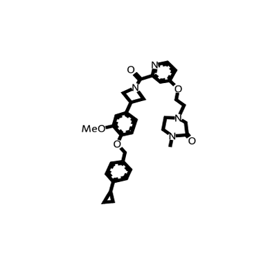 COc1cc(C2CN(C(=O)c3cc(OCCN4CCN(C)C(=O)C4)ccn3)C2)ccc1OCc1ccc(C2CC2)cc1